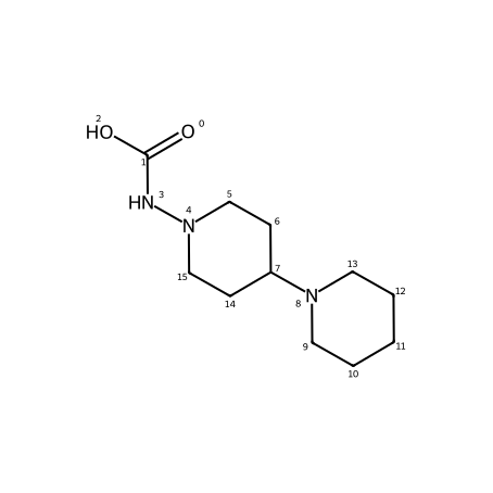 O=C(O)NN1CCC(N2CCCCC2)CC1